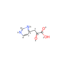 O=C(O)C(=O)Cc1ccncn1